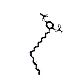 C/C=C/C=C/C/C=C\CCCCCCCCCc1cc(OC(C)=O)ccc1OC(C)=O